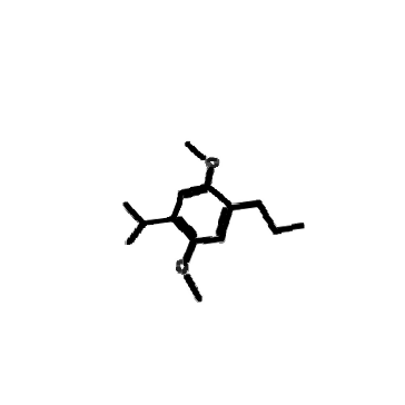 CCCc1cc(OC)c(C(C)C)cc1OC